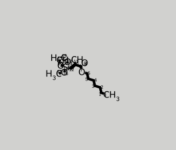 CCCCCCCOC(=O)C(C)=C[Si](OC)(OC)OC